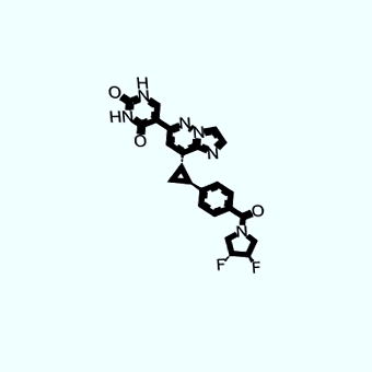 O=C(c1ccc([C@H]2C[C@@H]2c2cc(-c3c[nH]c(=O)[nH]c3=O)nn3ccnc23)cc1)N1C[C@@H](F)[C@H](F)C1